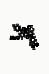 COc1ccc(-n2nc(C(F)(F)F)c3c2C(=O)N(c2ccc(C(=O)N(C)C)cc2)CC3)c(C(=O)N2CCC(C)CC2)c1